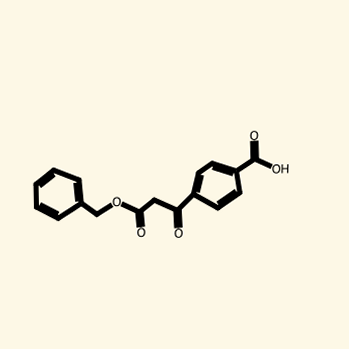 O=C(CC(=O)c1ccc(C(=O)O)cc1)OCc1ccccc1